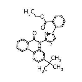 CCOC(=O)c1ccccc1-c1csc(NC(=O)c2ccccc2-c2ccc(C(C)(C)C)cc2)n1